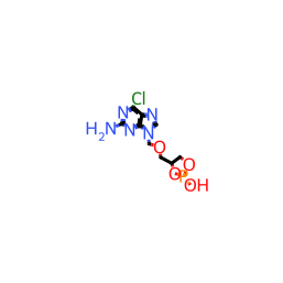 Nc1nc(Cl)c2ncn(COCC3COP(O)O3)c2n1